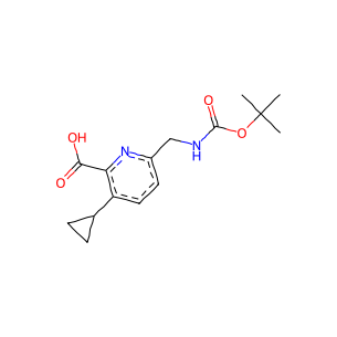 CC(C)(C)OC(=O)NCc1ccc(C2CC2)c(C(=O)O)n1